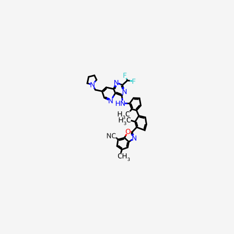 Cc1cc(C#N)c2oc(-c3cccc(-c4cccc(Nc5nc(C(F)F)nc6cc(CN7CCCC7)cnc56)c4C)c3C)nc2c1